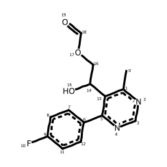 Cc1ncnc(-c2ccc(F)cc2)c1C(O)COC=O